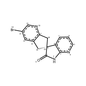 O=C1Nc2ncccc2[C@@]12Cc1cc(Br)cnc1C2